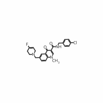 Cn1cc(C(=O)NCc2ccc(Cl)cc2)c(=O)c2cc(CN3CC=C(F)CC3)ccc21